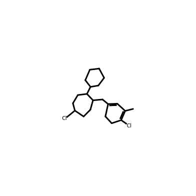 CC1=C(Cl)CCC(CC2CCC(Cl)CCC2C2CCCCC2)=C1